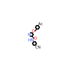 CC(=O)c1ccc(COc2cncc(C(=O)Nc3ccc(C#N)cc3)c2)cc1